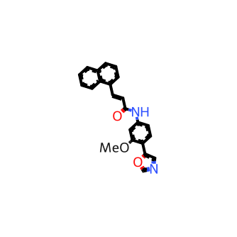 COc1cc(NC(=O)/C=C/c2cccc3ccccc23)ccc1-c1cnco1